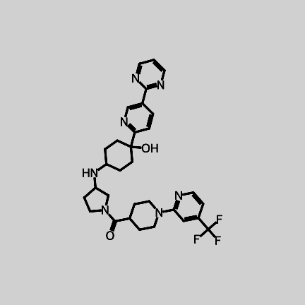 O=C(C1CCN(c2cc(C(F)(F)F)ccn2)CC1)N1CCC(NC2CCC(O)(c3ccc(-c4ncccn4)cn3)CC2)C1